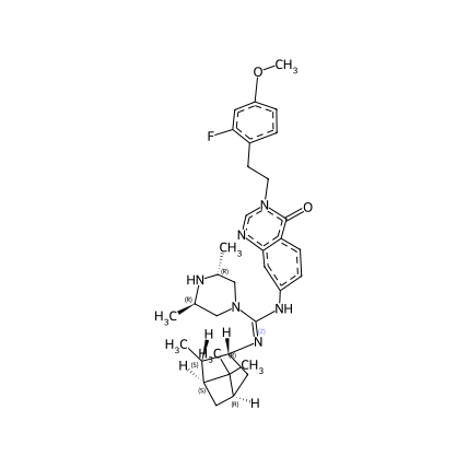 COc1ccc(CCn2cnc3cc(N/C(=N/[C@@H]4C[C@H]5C[C@@H]([C@@H]4C)C5(C)C)N4C[C@@H](C)N[C@H](C)C4)ccc3c2=O)c(F)c1